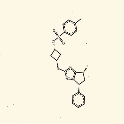 Cc1ccc(S(=O)(=O)O[C@H]2C[C@H](Sc3nc4n(n3)[C@H](c3ccccc3)C[C@@H]4F)C2)cc1